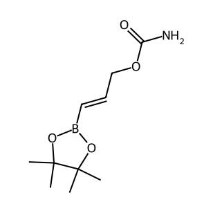 CC1(C)OB(C=CCOC(N)=O)OC1(C)C